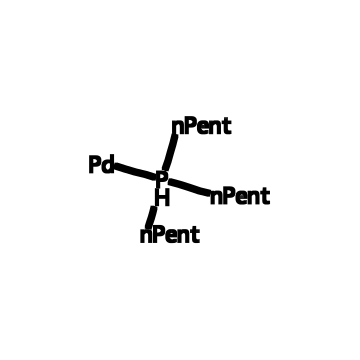 CCCCC[PH]([Pd])(CCCCC)CCCCC